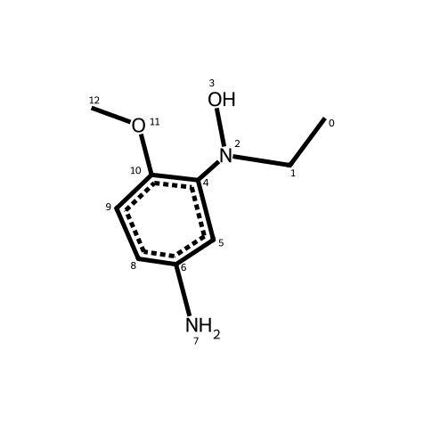 CCN(O)c1cc(N)ccc1OC